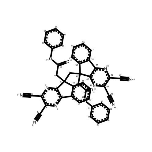 N#Cc1nc2c(nc1C#N)C(CC(=O)Oc1ccccc1)(CC1(CC(=O)Oc3ccccc3)c3ccccc3-c3nc(C#N)c(C#N)nc31)c1ccccc1-2